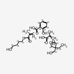 C=C(C)C(=O)O.C=C(C)C(=O)OCCCCO.CCC(CO)(CO)CO.O=C(O)c1ccccc1O